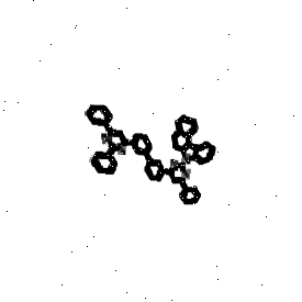 c1ccc(-c2cc(-c3cccc(-c4cccc(-c5cc(-c6ccccc6)nc(-n6c7ccccc7c7c8ccccc8ccc76)n5)c4)c3)nc(-c3ccccc3)n2)cc1